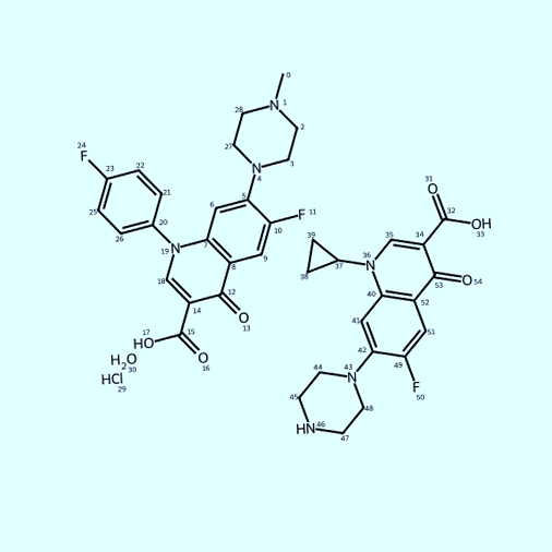 CN1CCN(c2cc3c(cc2F)c(=O)c(C(=O)O)cn3-c2ccc(F)cc2)CC1.Cl.O.O=C(O)c1cn(C2CC2)c2cc(N3CCNCC3)c(F)cc2c1=O